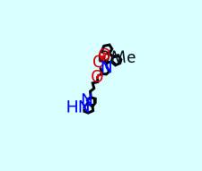 COC(=O)C(c1ccccc1C1CCCCO1)N1CCC(OCCCCc2ccc3c(n2)NCCC3)C1